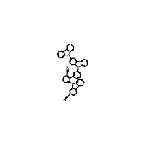 N#Cc1ccc2c3ccccc3n(-c3cccc(C#N)c3-c3cccc(-n4c5ccccc5c5cc(-n6c7ccccc7c7ccccc76)ccc54)c3)c2c1